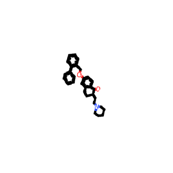 O=C1c2ccc(OCc3ccccc3-c3ccccc3)cc2CCC1CCN1CCCCC1